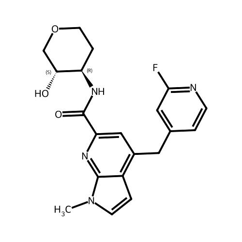 Cn1ccc2c(Cc3ccnc(F)c3)cc(C(=O)N[C@@H]3CCOC[C@H]3O)nc21